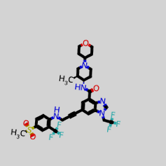 C[C@H]1CN(C2CCOCC2)CC[C@@H]1NC(=O)c1cc(C#CCNc2ccc(S(C)(=O)=O)cc2C(F)(F)F)cc2c1ncn2CC(F)(F)F